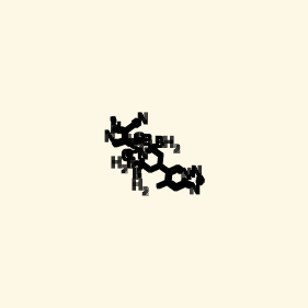 BC1(B)CC(c2cn3ncnc3cc2C)CC(B)(B)N1S(=O)(=O)c1cnn(C)c1C#N